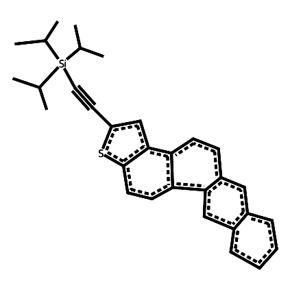 CC(C)[Si](C#Cc1cc2c(ccc3c4cc5ccccc5cc4ccc23)s1)(C(C)C)C(C)C